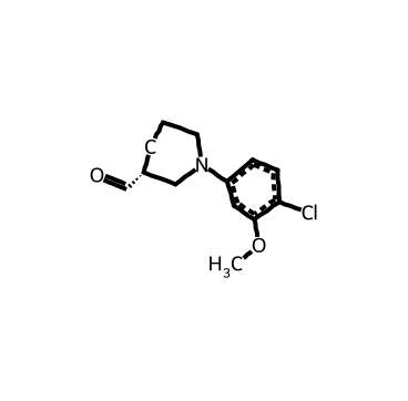 COc1cc(N2CCC[C@@H](C=O)C2)ccc1Cl